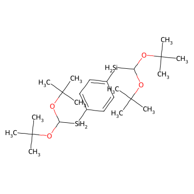 CC(C)(C)OC(OC(C)(C)C)[SiH2]c1ccc([SiH2]C(OC(C)(C)C)OC(C)(C)C)cc1